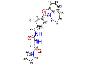 Cc1cc(C(=O)N2CCCCc3ccccc32)ccc1CNC(=O)NCC(=O)N1CCCC1